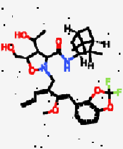 C=C/C=C(CN1O[C@@H](CO)[C@@H]([C@H](C)O)[C@H]1C(=O)N[C@H]1C[C@H]2C[C@@H]([C@@H]1C)C2(C)C)\C(=C\c1cccc2c1OC(F)(F)O2)OC